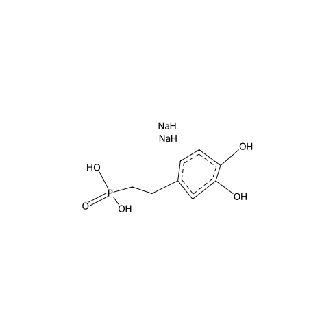 O=P(O)(O)CCc1ccc(O)c(O)c1.[NaH].[NaH]